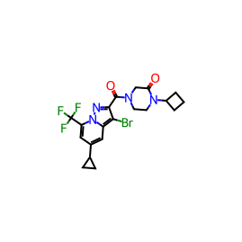 O=C(c1nn2c(C(F)(F)F)cc(C3CC3)cc2c1Br)N1CCN(C2CCC2)C(=O)C1